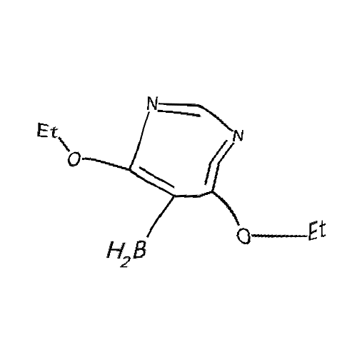 Bc1c(OCC)ncnc1OCC